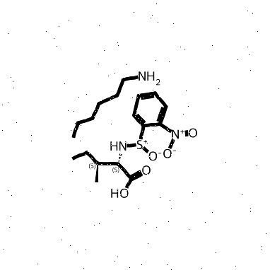 CCCCCCN.CC[C@H](C)[C@H](N[S+]([O-])c1ccccc1[N+](=O)[O-])C(=O)O